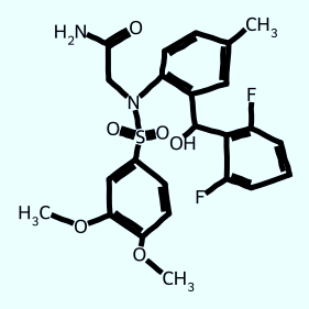 COc1ccc(S(=O)(=O)N(CC(N)=O)c2ccc(C)cc2C(O)c2c(F)cccc2F)cc1OC